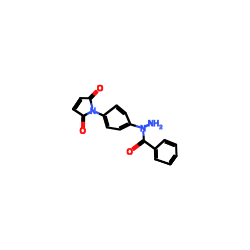 NN(C(=O)c1ccccc1)c1ccc(N2C(=O)C=CC2=O)cc1